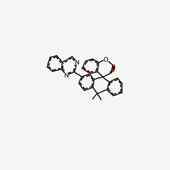 CC1(C)c2ccccc2C2(c3ccccc3Oc3ccccc32)c2cc(-c3ncc4ccccc4n3)ccc21